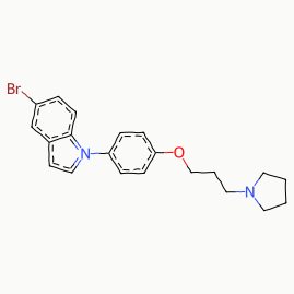 Brc1ccc2c(ccn2-c2ccc(OCCCN3CCCC3)cc2)c1